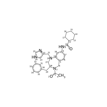 CC(=O)N1Cc2ccc(NC(=O)C3CCCCC3)cc2N(Cc2c[nH]cn2)CC1Cc1ccccc1